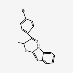 CC(Sc1nc2ccccc2[nH]1)C(=O)c1ccc(Br)cc1